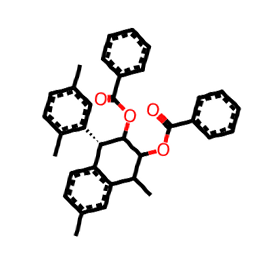 Cc1ccc2c(c1)C(C)C(OC(=O)c1ccccc1)C(OC(=O)c1ccccc1)[C@H]2c1cc(C)ccc1C